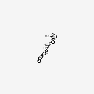 CCC(C)NS(=O)(=O)c1cccc(OCC(O)CNC2COC3(CCN(S(=O)(=O)c4ccc5ccccc5c4)CC3)C2)c1